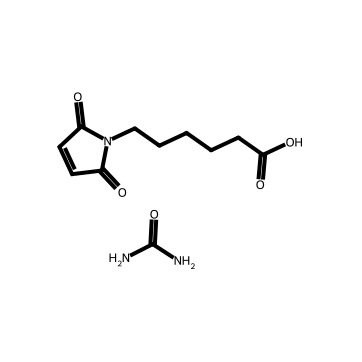 NC(N)=O.O=C(O)CCCCCN1C(=O)C=CC1=O